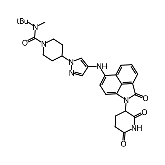 CN(C(=O)N1CCC(n2cc(Nc3ccc4c5c(cccc35)C(=O)N4C3CCC(=O)NC3=O)cn2)CC1)C(C)(C)C